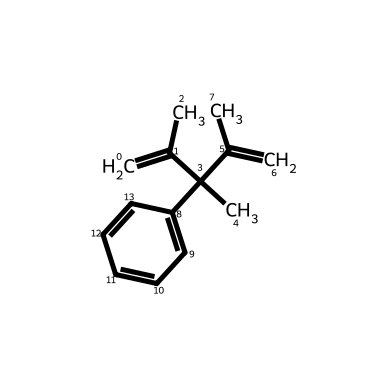 C=C(C)C(C)(C(=C)C)c1ccccc1